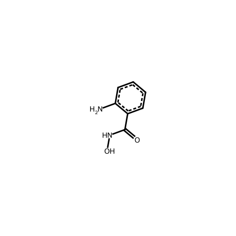 Nc1ccccc1C(=O)NO